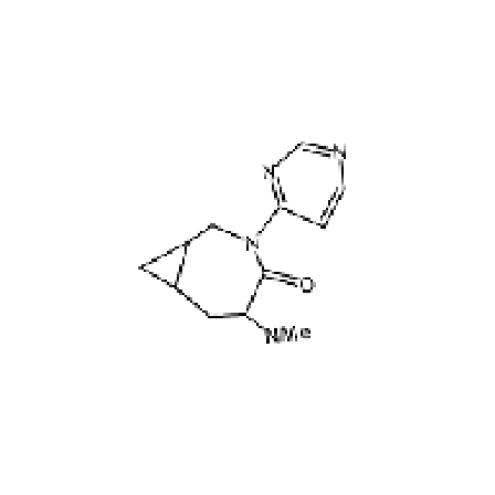 CNC1CC2CC2CN(c2ccncn2)C1=O